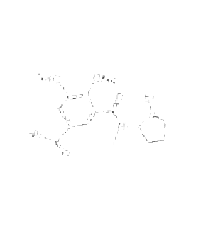 CCCC(=O)c1cc(OC)c(OC)c(C(=O)N(C)[C@H]2CCCN2CC)c1